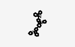 c1ccc(-n2c3ccccc3c3cc(-c4ccc5c(c4)c4ccc(-c6nc7ccccc7c7ccccc67)cc4n5-c4ccccc4)ccc32)cc1